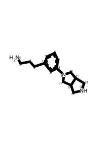 NCCCc1cccc(N2CC3CNCC3C2)c1